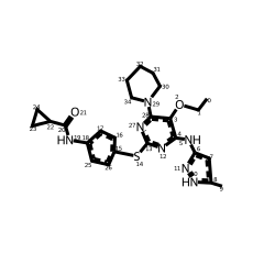 CCOc1c(Nc2cc(C)[nH]n2)nc(Sc2ccc(NC(=O)C3CC3)cc2)nc1N1CCCCC1